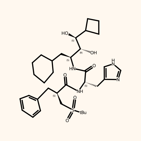 CC(C)(C)S(=O)(=O)C[C@@H](Cc1ccccc1)C(=O)N[C@@H](Cc1c[nH]cn1)C(=O)N[C@@H](CC1CCCCC1)[C@@H](O)[C@@H](O)C1CCC1